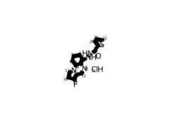 Cl.O=C(NNc1cccc2c1ncc1c(F)ccn12)c1cccs1